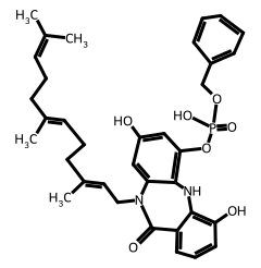 CC(C)=CCC/C(C)=C/CC/C(C)=C/CN1C(=O)c2cccc(O)c2Nc2c(OP(=O)(O)OCc3ccccc3)cc(O)cc21